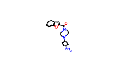 Nc1ccc(N2CCN(C(=O)c3cc4ccccc4o3)CC2)cc1